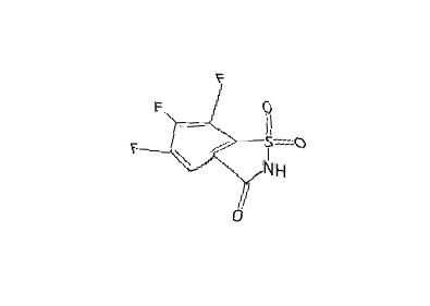 O=C1NS(=O)(=O)c2c1cc(F)c(F)c2F